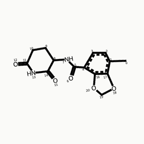 Cc1ccc(C(=O)NC2CCC(=O)NC2=O)c2c1OCO2